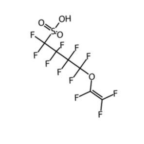 O=S(=O)(O)C(F)(F)C(F)(F)C(F)(F)C(F)(F)OC(F)=C(F)F